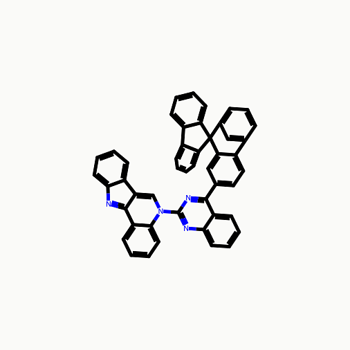 c1cc2cc(c1)C1(c3cc(-c4nc(-n5cc6c7ccccc7nc-6c6ccccc65)nc5ccccc45)ccc3-2)c2ccccc2-c2ccccc21